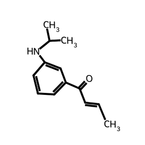 CC=CC(=O)c1cccc(NC(C)C)c1